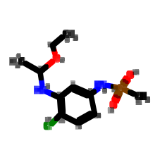 CCOC(C)Nc1cc(NS(C)(=O)=O)ccc1Cl